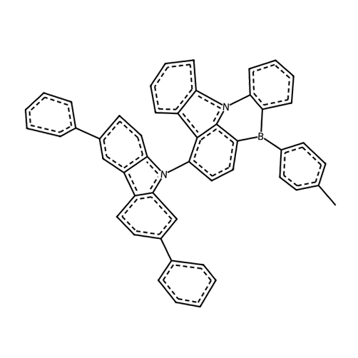 Cc1ccc(B2c3ccccc3-n3c4ccccc4c4c(-n5c6ccc(-c7ccccc7)cc6c6ccc(-c7ccccc7)cc65)ccc2c43)cc1